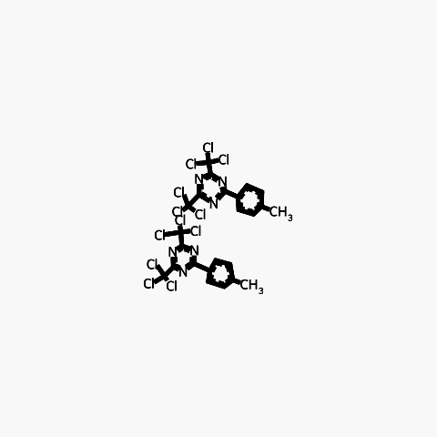 Cc1ccc(-c2nc(C(Cl)(Cl)Cl)nc(C(Cl)(Cl)Cl)n2)cc1.Cc1ccc(-c2nc(C(Cl)(Cl)Cl)nc(C(Cl)(Cl)Cl)n2)cc1